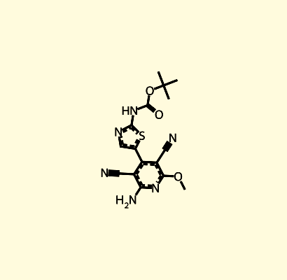 COc1nc(N)c(C#N)c(-c2cnc(NC(=O)OC(C)(C)C)s2)c1C#N